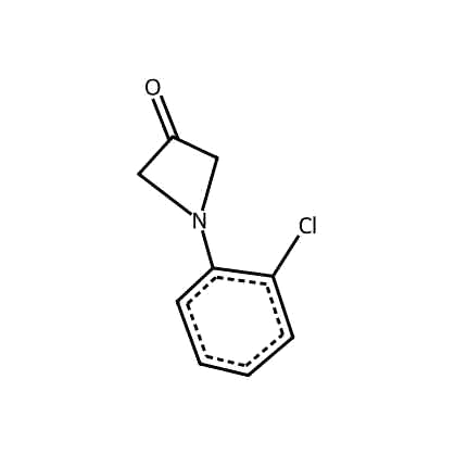 O=C1CN(c2ccccc2Cl)C1